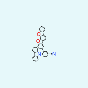 N#Cc1ccc(-n2c3ccccc3c3ccccc32)c(-c2ccc3oc4c(ccc5c6ccccc6oc54)c3c2)c1